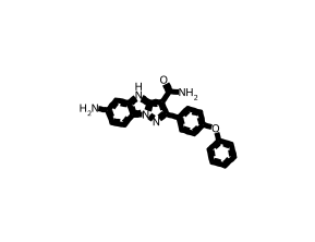 NC(=O)c1c(-c2ccc(Oc3ccccc3)cc2)nn2c1[nH]c1cc(N)ccc12